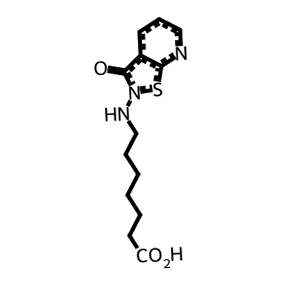 O=C(O)CCCCCCNn1sc2ncccc2c1=O